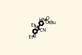 CCOc1ccc2c(c1)c(C#N)c(-c1ccc(NC(=O)OC(C)(C)C)cc1)n2CC